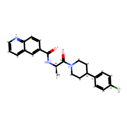 CC(C)[C@@H](NC(=O)c1ccc2ncccc2c1)C(=O)N1CCC(c2ccc(Cl)cc2)CC1